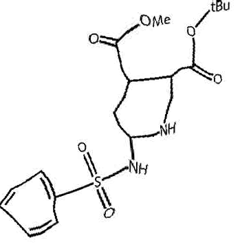 COC(=O)C1CC(NS(=O)(=O)c2ccccc2)NC1C(=O)OC(C)(C)C